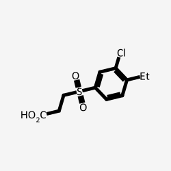 CCc1ccc(S(=O)(=O)CCC(=O)O)cc1Cl